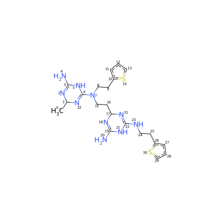 CC1N=C(N)NC(N(CCc2cccs2)CCC2N=C(N)NC(NCCc3cccs3)=N2)=N1